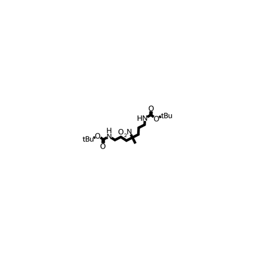 CC(C)(C)OC(=O)NCCCC(C)(CCCNC(=O)OC(C)(C)C)[N+](=O)[O-]